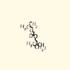 CC(C)COCC(=O)OCCC(C)(C)C